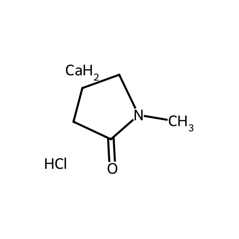 CN1CCCC1=O.Cl.[CaH2]